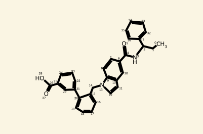 CCC(NC(=O)c1ccc2c(ccn2Cc2ccccc2-c2cccc(C(=O)O)c2)c1)c1ccccc1